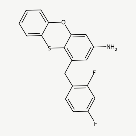 Nc1cc(Cc2ccc(F)cc2F)c2c(c1)Oc1ccccc1S2